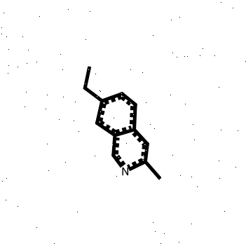 CCc1ccc2cc(C)ncc2c1